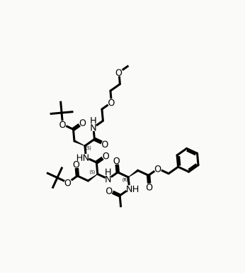 COCCOCCNC(=O)[C@H](CC(=O)OC(C)(C)C)NC(=O)[C@H](CC(=O)OC(C)(C)C)NC(=O)[C@@H](CC(=O)OCc1ccccc1)NC(C)=O